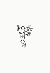 COC(OC)C1(C)Oc2ccc([N+](=O)[O-])cc2C(N(C#N)C(=N)NCc2cccc(C(F)(F)F)c2)C1O